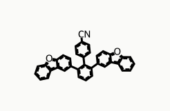 N#Cc1ccc(-c2c(-c3ccc4oc5ccccc5c4c3)cccc2-c2ccc3oc4ccccc4c3c2)cc1